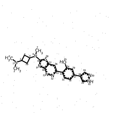 CN(C)C1CC(N(C)c2nc3nnc(-c4ccc(-c5cn[nH]c5)cc4O)cc3s2)C1